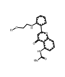 CCOCCNc1ccccc1-c1cc(=O)c2c(NC(=O)C(C)(C)C)cccc2o1